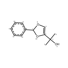 CC(C)(O)C1=COC(c2ccccc2)O1